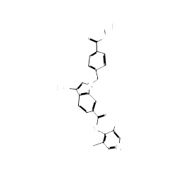 COC(=O)c1ccc(Cn2cc(C)c3ccc(C(=O)Nc4c(Cl)cncc4Cl)cc32)cc1